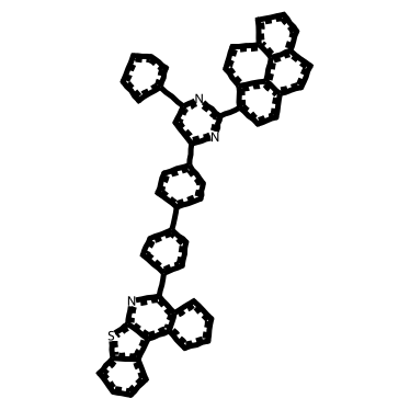 c1ccc(-c2cc(-c3ccc(-c4ccc(-c5nc6sc7ccccc7c6c6ccccc56)cc4)cc3)nc(-c3ccc4ccc5cccc6ccc3c4c56)n2)cc1